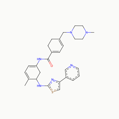 CC1=CC=C(NC(=O)C2=CC=C(CN3CCN(C)CC3)CC2)CC1Nc1nc(-c2cccnc2)cs1